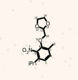 Cc1ccc(C(C)C)c([N+](=O)[O-])c1OCC1OCCO1